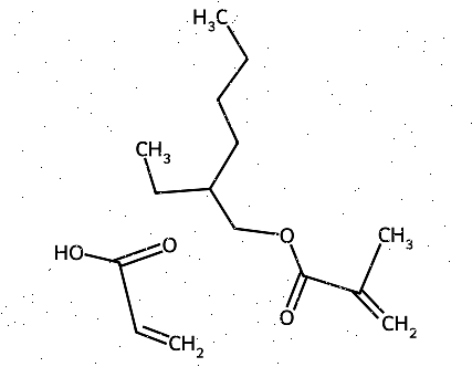 C=C(C)C(=O)OCC(CC)CCCC.C=CC(=O)O